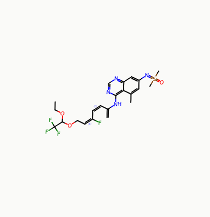 C=C(/C=C\C(F)=C/COC(OCC)C(F)(F)F)Nc1ncnc2cc(N=S(C)(C)=O)cc(C)c12